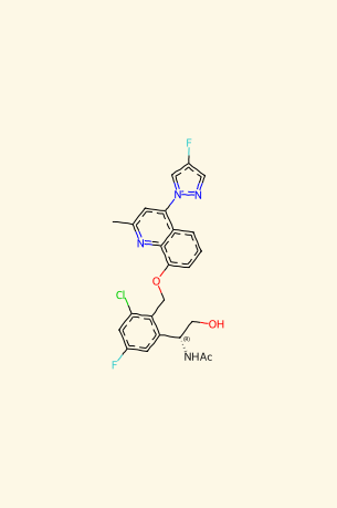 CC(=O)N[C@@H](CO)c1cc(F)cc(Cl)c1COc1cccc2c(-n3cc(F)cn3)cc(C)nc12